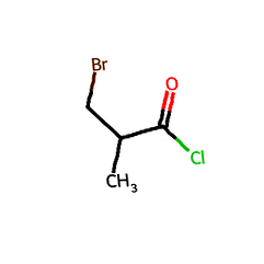 CC(CBr)C(=O)Cl